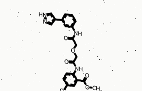 COC(=O)c1cc(Cl)ccc1NC(=O)COCC(=O)Nc1cccc(-c2cn[nH]c2)c1